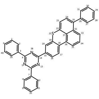 c1ccc(-c2nc(-c3ccccc3)nc(-c3ccc4c(c3)Sc3ccc(-c5ccccc5)c5cccc-4c35)n2)cc1